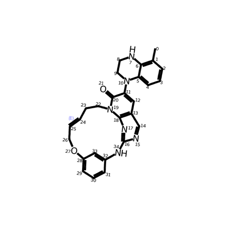 Cc1cccc2c1NCCN2c1cc2cnc3nc2n(c1=O)CC/C=C/COc1cccc(c1)N3